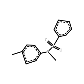 Cc1ccc(N(C)S(=O)(=O)c2ccccc2)cc1